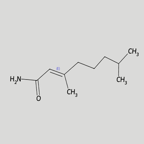 C/C(=C\C(N)=O)CCCC(C)C